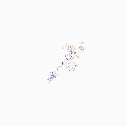 COC(=O)N[C@H](C(=O)N[C@@H](Cc1ccc(C#Cc2cnc(N3CC4CCC(C3)N4C3COC3)nc2)cc1)[C@@H](O)CN(Cc1c(F)cc(-c2cn(C34CC(C3)C4)nn2)cc1F)NC(=O)[C@@H](NC(=O)O)C(C)(C)C(F)(F)F)C(C)(C)C(F)(F)F